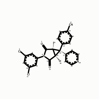 C[C@@]12C(=O)N(c3cc(Cl)cc(Cl)c3)C(=O)[C@@H]1[C@]2(c1ccncc1)c1ccc(C#N)cc1